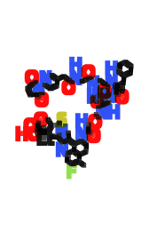 CC[C@@]1(O)C(=O)OCc2c1cc1n(c2=S)Cc2c-1nc1cc(F)c(C)c3c1c2C(NC(=O)COCNC(=O)CNC(=O)[C@H](Cc1ccccc1)NC(=O)CNC(=O)CNC(=O)Cc1ccc(N2C(=O)C=CC2=O)nc1)CC3